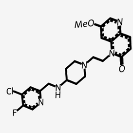 COc1cnc2ccc(=O)n(CCN3CCC(NCc4cc(Cl)c(F)cn4)CC3)c2c1